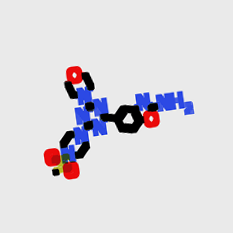 CS(=O)(=O)N1CCN(c2nc(-c3ccc4oc(N)nc4c3)nc(N3CCOCC3)n2)CC1